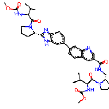 COC(=O)N[C@H](C(=O)N1CCC[C@H]1CNC(=O)c1cnc2cc(-c3ccc4nc([C@@H]5CCCN5C(=O)[C@@H](NC(=O)OC)C(C)C)[nH]c4c3)ccc2c1)C(C)C